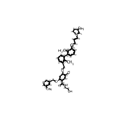 Cc1c(COc2cc(OCc3cncc(C#N)c3)c(C(=O)NCCO)cc2Cl)cccc1-c1cccc(OCCCN2CCC(O)C2)c1C